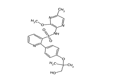 COc1nc(C)cnc1NS(=O)(=O)c1cccnc1-c1ccc(OC(C)(C)CO)cc1